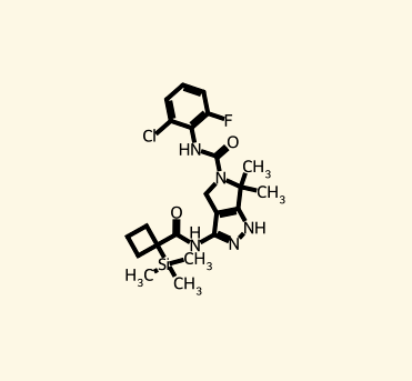 CC1(C)c2[nH]nc(NC(=O)C3([Si](C)(C)C)CCC3)c2CN1C(=O)Nc1c(F)cccc1Cl